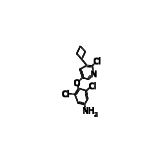 Nc1cc(Cl)c(Oc2cnc(Cl)c(C3CCC3)c2)c(Cl)c1